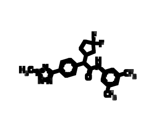 Cn1nnc(-c2ccc(C(C(=O)Nc3cc(C(F)(F)F)cc(C(F)(F)F)c3)C3CCC(F)(F)C3)cc2)n1